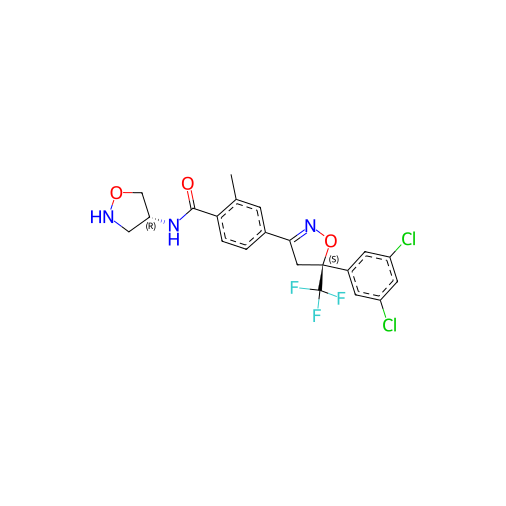 Cc1cc(C2=NO[C@@](c3cc(Cl)cc(Cl)c3)(C(F)(F)F)C2)ccc1C(=O)N[C@@H]1CNOC1